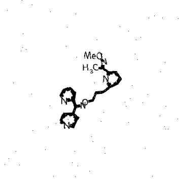 CO/N=C(\C)c1cccc(CCCON=C(c2ccncc2)c2ccccn2)n1